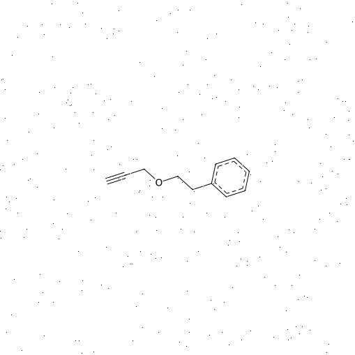 C#CCOCCc1ccccc1